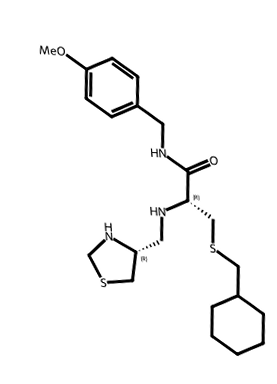 COc1ccc(CNC(=O)[C@H](CSCC2CCCCC2)NC[C@@H]2CSCN2)cc1